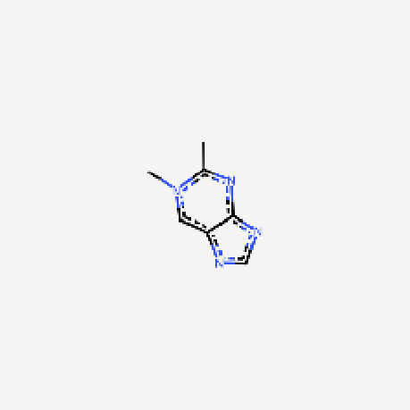 Cc1nc2ncnc-2cn1C